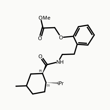 COC(=O)COc1ccccc1CCNC(=O)[C@@H]1CC(C)CC[C@H]1C(C)C